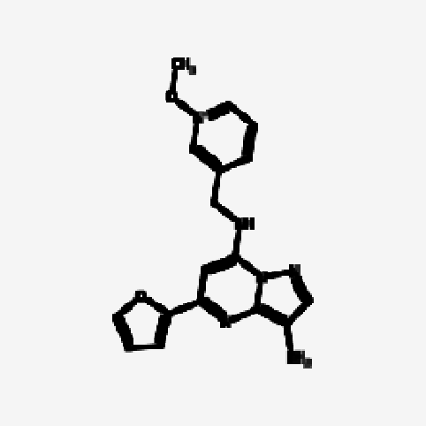 Bc1cnn2c(NCc3ccc[n+](OC)c3)cc(-c3ccco3)nc12